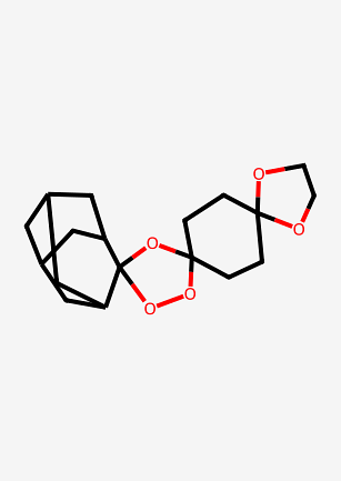 C1COC2(CCC3(CC2)OOC2(O3)C3CC4CC(C3)CC2C4)O1